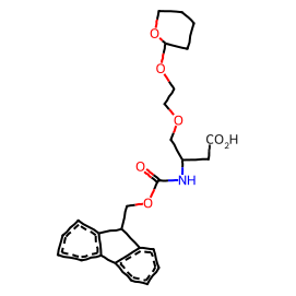 O=C(O)CC(COCCOC1CCCCO1)NC(=O)OCC1c2ccccc2-c2ccccc21